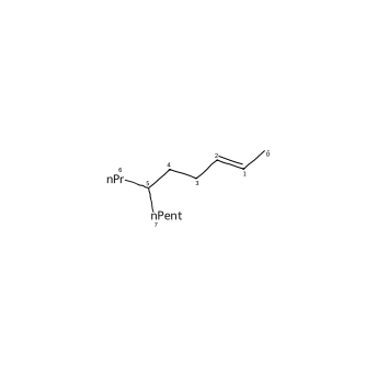 [CH2]C=CCCC(CCC)CCCCC